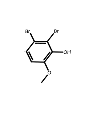 COc1c[c]c(Br)c(Br)c1O